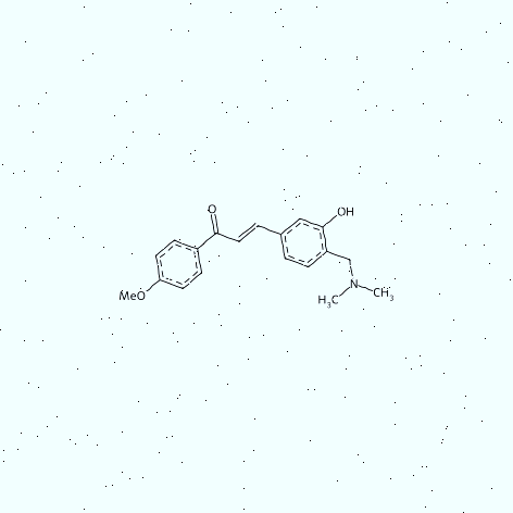 COc1ccc(C(=O)/C=C/c2ccc(CN(C)C)c(O)c2)cc1